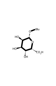 CC(C)(C)O[C@@H]1O[C@H](C(=O)O)[C@H](O)[C@@H](O)[C@H]1O